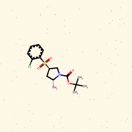 CC(C)(C)OC(=O)N1C[C@H](S(=O)(=O)c2ccccc2Cl)C[C@H]1P